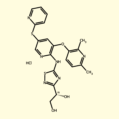 Cc1ccc(Oc2cc(Sc3ccccn3)cnc2Nc2nc([C@H](O)CO)ns2)c(C)n1.Cl